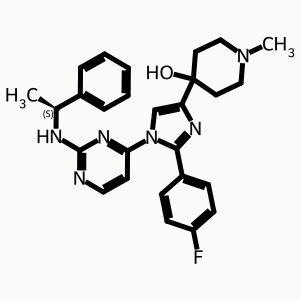 C[C@H](Nc1nccc(-n2cc(C3(O)CCN(C)CC3)nc2-c2ccc(F)cc2)n1)c1ccccc1